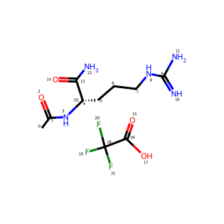 CC(=O)N[C@@H](CCCNC(=N)N)C(N)=O.O=C(O)C(F)(F)F